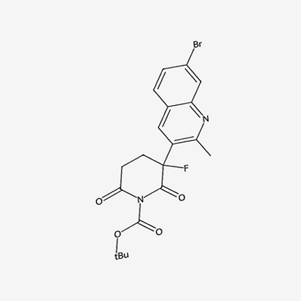 Cc1nc2cc(Br)ccc2cc1C1(F)CCC(=O)N(C(=O)OC(C)(C)C)C1=O